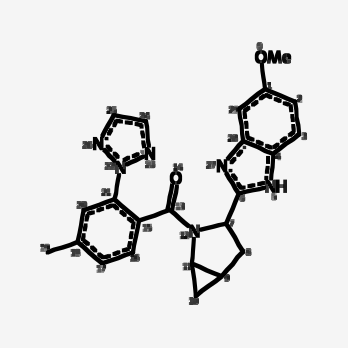 COc1ccc2[nH]c(C3CC4CC4N3C(=O)c3ccc(C)cc3-n3nccn3)nc2c1